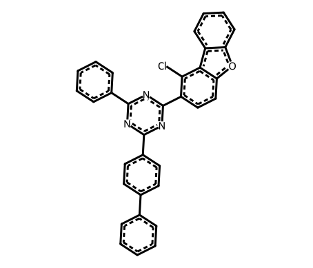 Clc1c(-c2nc(-c3ccccc3)nc(-c3ccc(-c4ccccc4)cc3)n2)ccc2oc3ccccc3c12